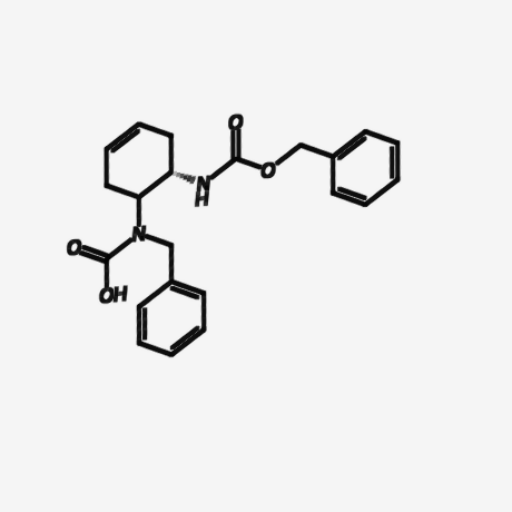 O=C(N[C@H]1CC=CCC1N(Cc1ccccc1)C(=O)O)OCc1ccccc1